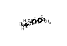 COc1ccc(-c2ccc(C(C)OC3CC(NCl)C3)nc2)cc1F